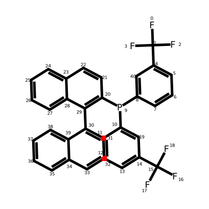 FC(F)(F)c1cccc(P(c2cccc(C(F)(F)F)c2)c2ccc3ccccc3c2-c2cccc3ccccc23)c1